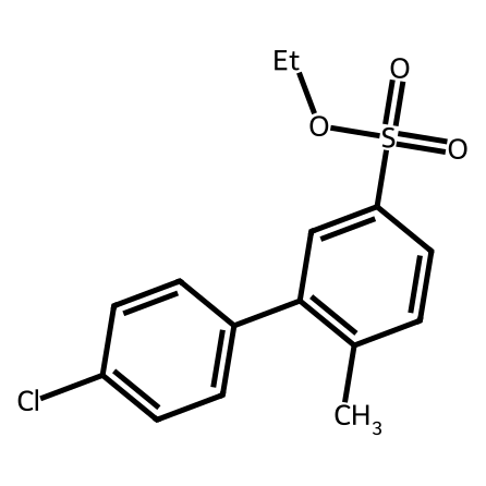 CCOS(=O)(=O)c1ccc(C)c(-c2ccc(Cl)cc2)c1